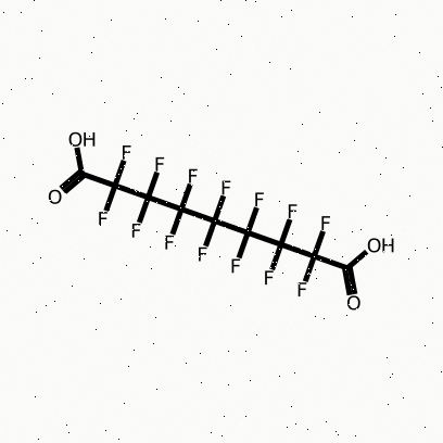 O=C(O)C(F)(F)C(F)(F)C(F)(F)C(F)(F)C(F)(F)C(F)(F)C(F)(F)C(=O)O